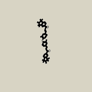 Cc1cc(C=CC(=O)c2ccc3c(c2)C(C)(C)C(C)C3(C)C)ccc1Sc1ccc(C=CC(=O)c2ccc3c(c2)C(C)(C)C(C)C3(C)C)cc1C